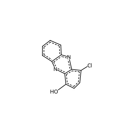 Oc1ccc(Cl)c2nc3ccccc3nc12